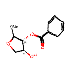 COC1OC[C@H](O)[C@H]1OC(=O)c1ccccc1